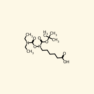 CCN(CC)C(=O)ON(CCCCCC(=O)O)C(=O)OC(C)(C)C